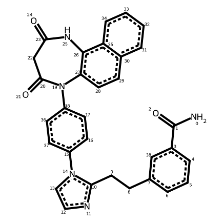 NC(=O)c1cccc(CCc2nccn2-c2ccc(N3C(=O)CC(=O)Nc4c3ccc3ccccc43)cc2)c1